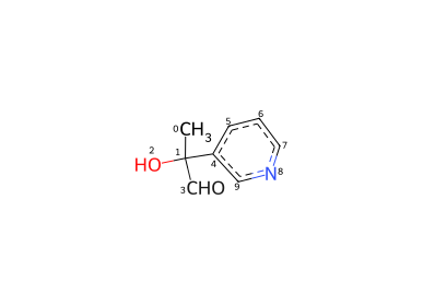 CC(O)(C=O)c1cccnc1